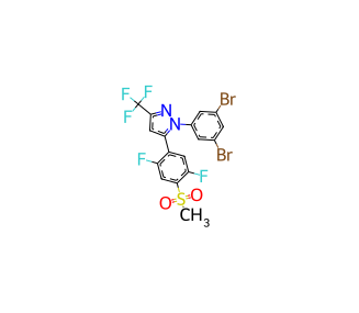 CS(=O)(=O)c1cc(F)c(-c2cc(C(F)(F)F)nn2-c2cc(Br)cc(Br)c2)cc1F